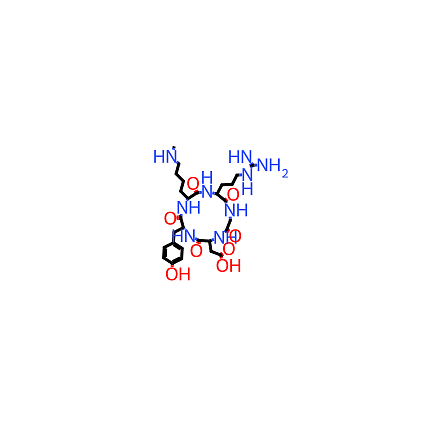 CNCCCCC1NC(=O)C(Cc2ccc(O)cc2)NC(=O)C(CC(=O)O)NC(=O)CNC(=O)C(CCCNC(=N)N)NC1=O